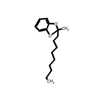 CCCCCCCCCC1(C)Oc2ccccc2O1